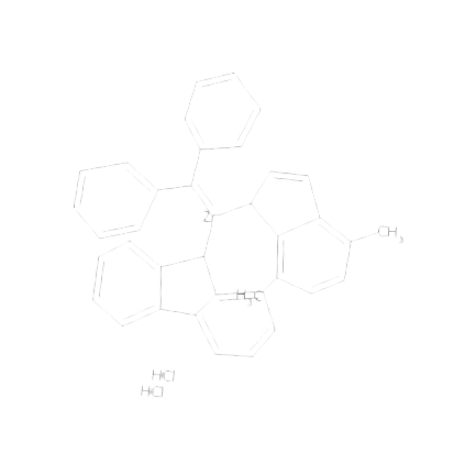 Cc1ccc(C)c2c1C=C[CH]2[Zr](=[C](c1ccccc1)c1ccccc1)[CH]1c2ccccc2-c2ccccc21.Cl.Cl